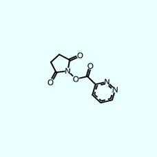 O=C(ON1C(=O)CCC1=O)c1cccnn1